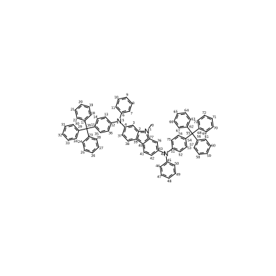 Cn1c2cc(N(c3ccccc3)c3ccc(C(c4ccccc4)(c4ccccc4)c4ccccc4)cc3)ccc2c2ccc(N(c3ccccc3)c3ccc(C(c4ccccc4)(c4ccccc4)c4ccccc4)cc3)cc21